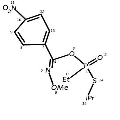 CCP(=O)(OC(=NOC)c1ccc([N+](=O)[O-])cc1)SC(C)C